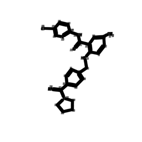 Cc1ccc(NCc2ccc(C(=N)N3CCCC3)cc2)c(C(=O)Nc2ccc(Cl)cn2)c1